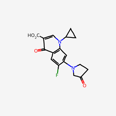 O=C1CCN(c2cc3c(cc2F)c(=O)c(C(=O)O)cn3C2CC2)C1